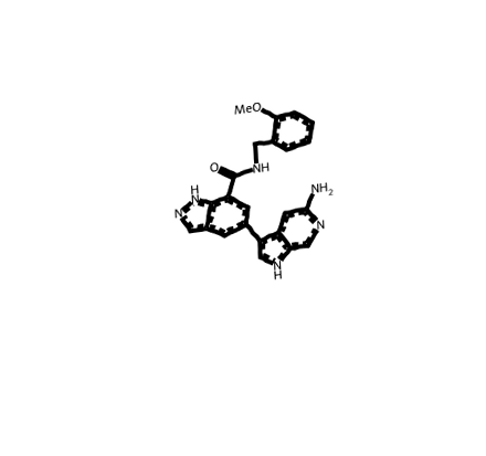 COc1ccccc1CNC(=O)c1cc(-c2c[nH]c3cnc(N)cc23)cc2cn[nH]c12